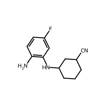 N#CC1CCCC(Nc2cc(F)ccc2N)C1